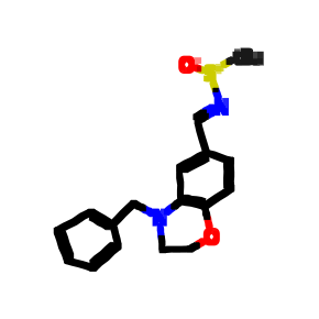 CC(C)(C)[S+]([O-])N=Cc1ccc2c(c1)N(Cc1ccccc1)CCO2